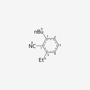 CCCCc1cccc(CC)c1C#N